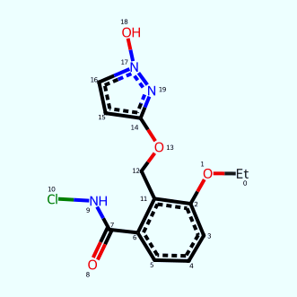 CCOc1cccc(C(=O)NCl)c1COc1ccn(O)n1